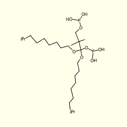 [CH2]C([CH2])(COP(O)O)C(OCCCCCCCC(C)C)(OCCCCCCCC(C)C)OP(O)O